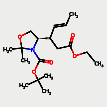 CC=CC(CC(=O)OCC)[C@H]1COC(C)(C)N1C(=O)OC(C)(C)C